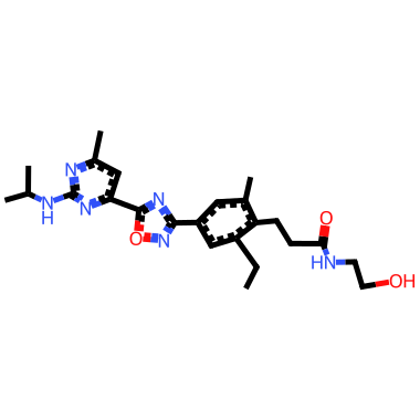 CCc1cc(-c2noc(-c3cc(C)nc(NC(C)C)n3)n2)cc(C)c1CCC(=O)NCCO